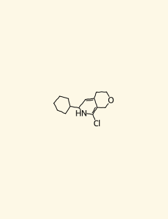 ClC1=C2COCCC2=CC(C2CCCCC2)N1